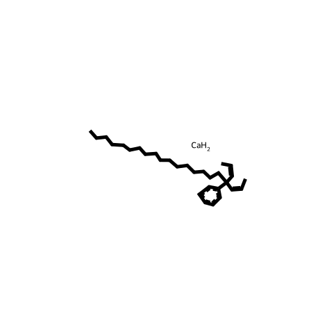 C/C=C\C(/C=C\C)(CCCCCCCCCCCCCCCCC)c1ccccc1.[CaH2]